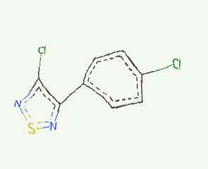 Clc1ccc(-c2nsnc2Cl)cc1